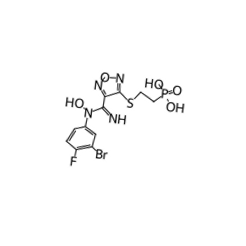 N=C(c1nonc1SCCP(=O)(O)O)N(O)c1ccc(F)c(Br)c1